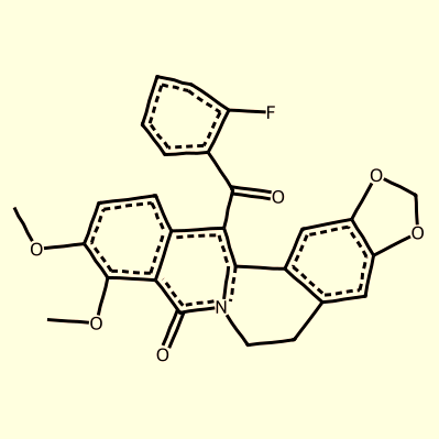 COc1ccc2c(C(=O)c3ccccc3F)c3n(c(=O)c2c1OC)CCc1cc2c(cc1-3)OCO2